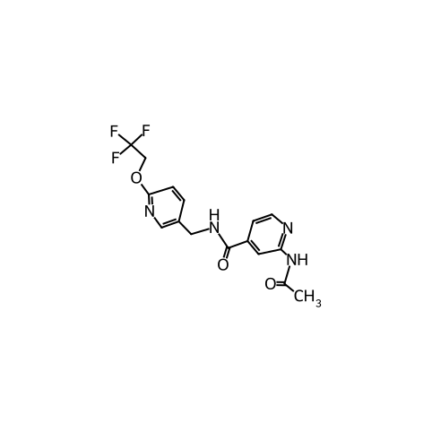 CC(=O)Nc1cc(C(=O)NCc2ccc(OCC(F)(F)F)nc2)ccn1